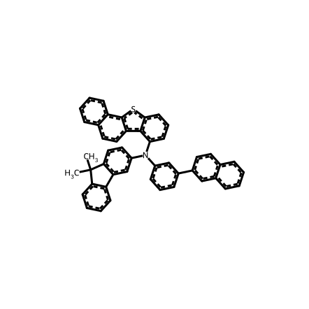 CC1(C)c2ccccc2-c2cc(N(c3cccc(-c4ccc5ccccc5c4)c3)c3cccc4sc5c6ccccc6ccc5c34)ccc21